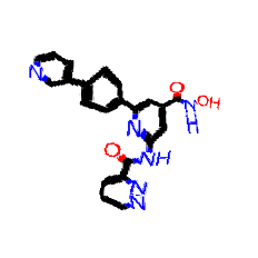 O=C(NO)c1cc(NC(=O)c2cccnn2)nc(-c2ccc(-c3cccnc3)cc2)c1